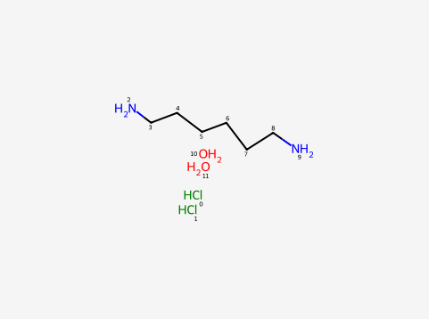 Cl.Cl.NCCCCCCN.O.O